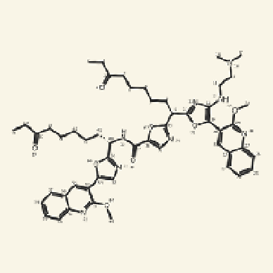 CCC(=O)CCCCC[C@@H](c1nc(NCCN(C)C)c(-c2cc3ccccc3nc2OC)o1)c1ncc(C(=O)N[C@@H](CCCCCC(=O)CC)c2ncc(-c3cc4ccccc4nc3OC)o2)s1